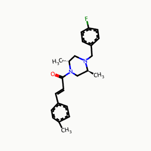 Cc1ccc(/C=C/C(=O)N2C[C@H](C)N(Cc3ccc(F)cc3)C[C@H]2C)cc1